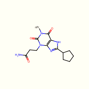 CCCn1c(=O)c2[nH]c(C3CCCC3)nc2n(CCC(N)=O)c1=O